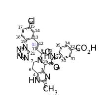 Cc1nc2c([nH]1)CCN(C(=O)/C=C/c1cc(Cl)ccc1-n1cnnn1)C2C(=O)Nc1ccc(C(=O)O)cc1